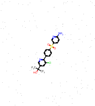 Nc1ccc(S(=O)(=O)c2ccc(-c3ncc(C(O)(C(F)(F)F)C(F)(F)F)cc3Cl)cc2)cn1